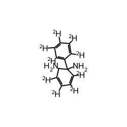 [2H]C1=C([2H])C(N)C(N)(c2c([2H])c([2H])c([2H])c([2H])c2[2H])C([2H])=C1[2H]